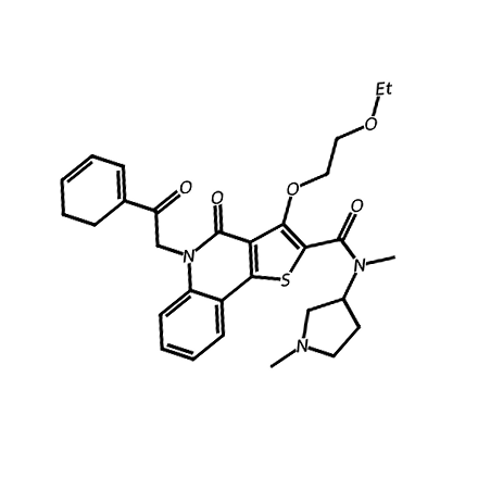 CCOCCOc1c(C(=O)N(C)C2CCN(C)C2)sc2c1c(=O)n(CC(=O)C1=CC=CCC1)c1ccccc21